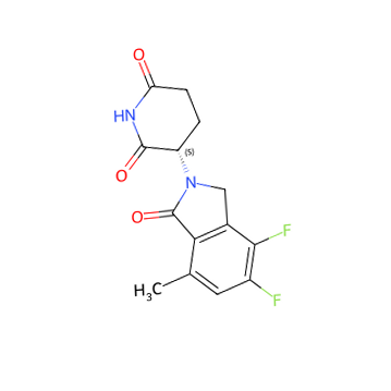 Cc1cc(F)c(F)c2c1C(=O)N([C@H]1CCC(=O)NC1=O)C2